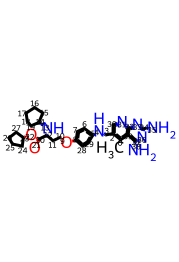 Cc1c(CNc2ccc(OCCC(NC3CCCCC3)C(=O)OC3CCCC3)cc2)cnc2nc(N)nc(N)c12